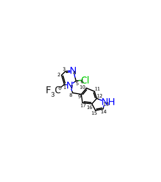 FC(F)(F)C1=CC=NC(Cl)N1Cc1ccc2[nH]ccc2c1